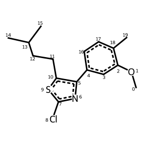 COc1cc(-c2nc(Cl)sc2CCC(C)C)ccc1C